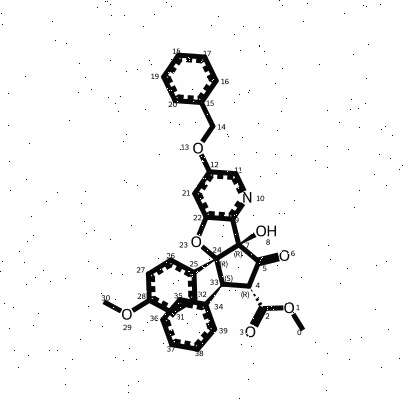 COC(=O)[C@H]1C(=O)[C@@]2(O)c3ncc(OCc4ccccc4)cc3O[C@@]2(c2ccc(OC)cc2)[C@@H]1c1ccccc1